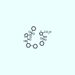 O=C(Nc1cccc(-c2ccccc2)c1)c1sccc1NS(=O)(=O)c1ccccc1.O=C(O)c1sccc1NS(=O)(=O)c1ccccc1